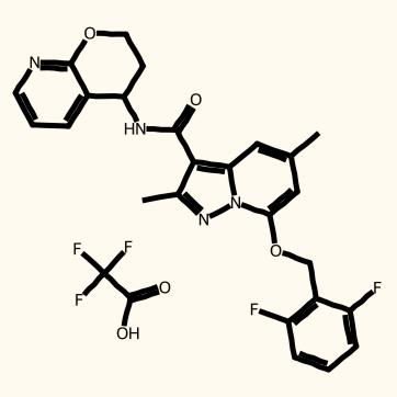 Cc1cc(OCc2c(F)cccc2F)n2nc(C)c(C(=O)NC3CCOc4ncccc43)c2c1.O=C(O)C(F)(F)F